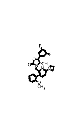 COc1ccccc1-c1ccc(N2CCC2)nc1CN1C(=O)OC(c2cc(F)cc(F)c2)[C@@H]1C